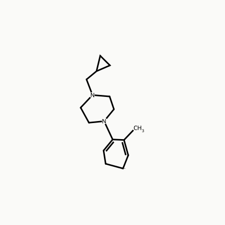 CC1=C[CH]CC=C1N1CCN(CC2CC2)CC1